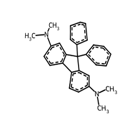 CN(C)c1ccc2c(c1)C(c1ccccc1)(c1ccccc1)c1cc(N(C)C)ccc1-2